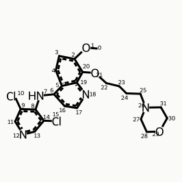 COc1ccc2c(Nc3c(Cl)cncc3Cl)ccnc2c1OCCCCN1CCOCC1